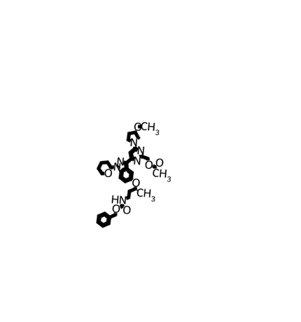 CO[C@@H]1CCN(c2cc(-c3nn(C4CCCCO4)c4ccc(O[C@H](C)CCNC(=O)OCc5ccccc5)cc34)nc(COC(C)=O)n2)C1